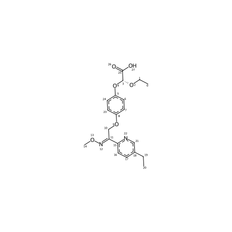 CCO[C@H](Oc1ccc(OC/C(=N\OC)c2ccc(CC)cn2)cc1)C(=O)O